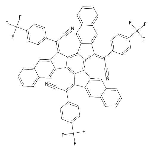 N#C/C(=C1/c2cc3ccccc3cc2-c2c1c1c(c3c2/C(=C(\C#N)c2ccc(C(F)(F)F)cc2)c2cc4ccccc4cc2-3)/C(=C(\C#N)c2ccc(C(F)(F)F)cc2)c2cc3ccccc3cc2-1)c1ccc(C(F)(F)F)cc1